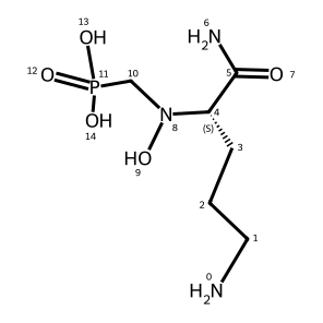 NCCC[C@@H](C(N)=O)N(O)CP(=O)(O)O